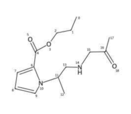 CCCOC(=O)c1cccn1C(C)CNCC(C)=O